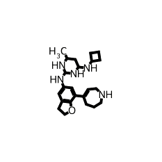 CC1CC(NC2CCC2)NC(Nc2cc3c(c(C4=CCNCCC4)c2)OCC3)N1